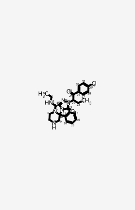 CCNC(=S)N1CCNCC1(c1ccccc1)n1cnn(C(CC)C(=O)c2ccc(Cl)cc2)c1=O